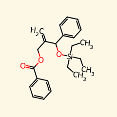 C=C(COC(=O)c1ccccc1)C(O[Si](CC)(CC)CC)c1ccccc1